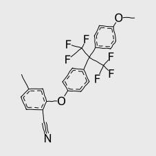 COc1ccc(C(c2ccc(Oc3cc(C)ccc3C#N)cc2)(C(F)(F)F)C(F)(F)F)cc1